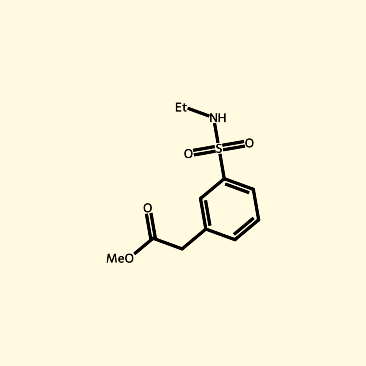 CCNS(=O)(=O)c1cccc(CC(=O)OC)c1